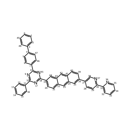 c1ccc(-c2ccc(-c3nc(-c4ccccc4)nc(-c4ccc5cc6cc(-c7ccc(-c8ccccn8)nc7)ccc6cc5c4)n3)cc2)cc1